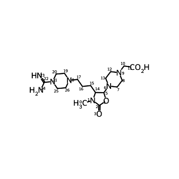 CN1C(=O)OC(N2CCN(CC(=O)O)CC2)C1CCCN1CCN(C(=N)N)CC1